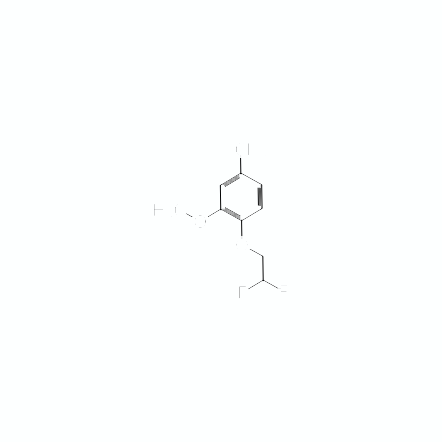 COc1cc(C)ccc1OCC(F)F